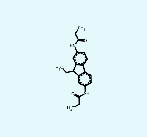 CCC(=O)Nc1ccc2c(c1)C(CC)c1cc(NC(=O)CC)ccc1-2